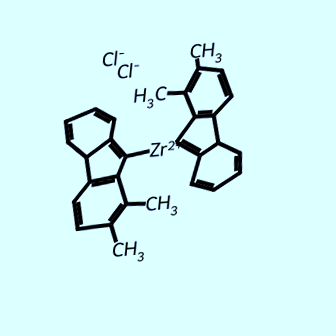 Cc1ccc2c(c1C)[C]([Zr+2][C]1=C3C=CC=CC3c3ccc(C)c(C)c31)=C1C=CC=CC12.[Cl-].[Cl-]